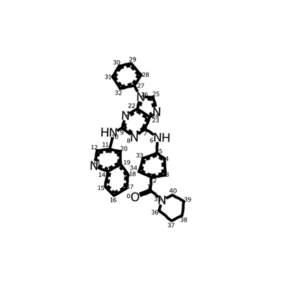 O=C(c1ccc(Nc2nc(Nc3cnc4ccccc4c3)nc3c2ncn3-c2ccccc2)cc1)N1CCCCC1